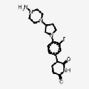 NN1CCN(C2CCN(c3ccc(C4CCC(=O)NC4=O)cc3F)C2)CC1